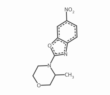 CC1COCCN1c1nc2ccc([N+](=O)[O-])cc2o1